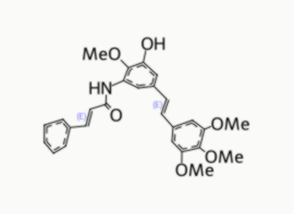 COc1cc(/C=C/c2cc(O)c(OC)c(NC(=O)/C=C/c3ccccc3)c2)cc(OC)c1OC